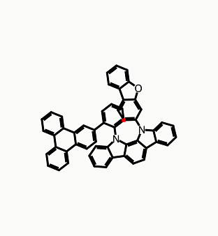 c1ccc(-n2c3ccccc3c3ccc4c5ccccc5n(-c5ccc6c(c5)oc5ccccc56)c4c32)c(-c2ccc3c4ccccc4c4ccccc4c3c2)c1